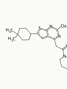 Cc1nc(CC(=O)N2CCC(O)CC2)c2cc(C3CCC(C)(C)CC3)sc2n1